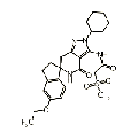 CS(=O)(=O)CC(=O)Nc1c2c(nn1C1CCCCC1)C[C@@]1(CCc3cc(OCC(F)(F)F)ccc31)NC2=O